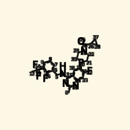 Cc1nc(NCc2cccc(C(C)(F)F)c2F)c2cc(P3CCN(C(=O)C4CC4)CC3)c(F)cc2n1